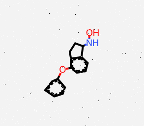 ONC1CCc2c(Oc3ccccc3)cccc21